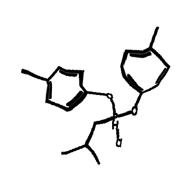 Cc1ccc(O[PH](Cl)(CC(C)C)Oc2ccc(C)cc2)cc1